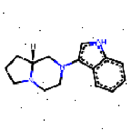 c1ccc2c(N3CCN4CCC[C@@H]4C3)c[nH]c2c1